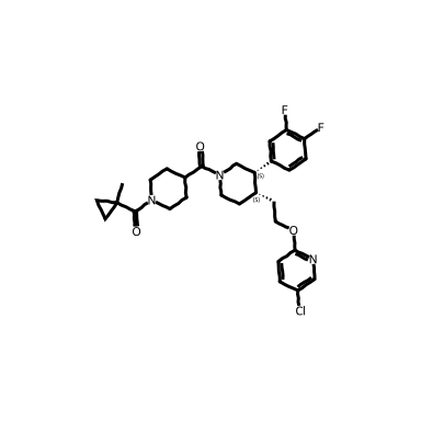 CC1(C(=O)N2CCC(C(=O)N3CC[C@@H](CCOc4ccc(Cl)cn4)[C@@H](c4ccc(F)c(F)c4)C3)CC2)CC1